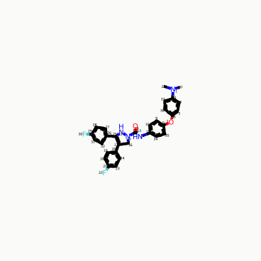 CN(C)c1ccc(Oc2ccc(NC(=O)N3CC(c4ccc(F)cc4)=C(c4ccc(F)cc4)N3)cc2)cc1